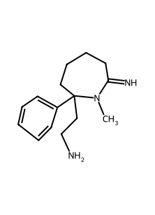 CN1C(=N)CCCCC1(CCN)c1ccccc1